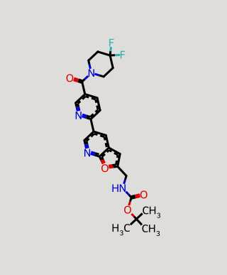 CC(C)(C)OC(=O)NCc1cc2cc(-c3ccc(C(=O)N4CCC(F)(F)CC4)cn3)cnc2o1